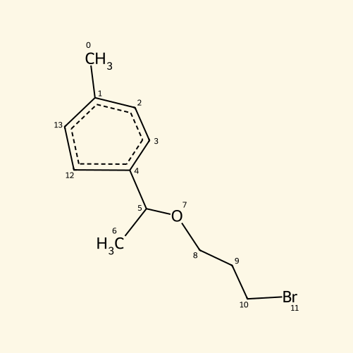 Cc1ccc(C(C)OCCCBr)cc1